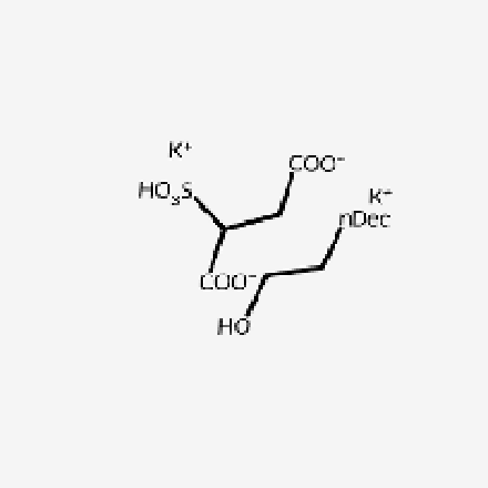 CCCCCCCCCCCCO.O=C([O-])CC(C(=O)[O-])S(=O)(=O)O.[K+].[K+]